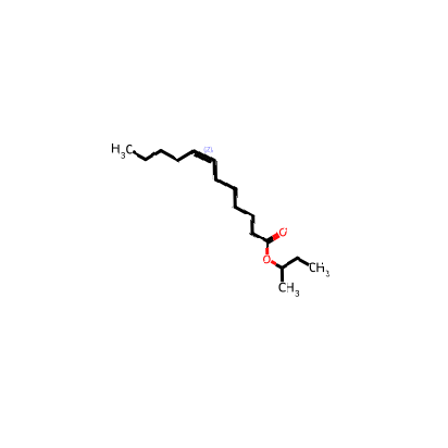 CCCC/C=C\CCCCCC(=O)OC(C)CC